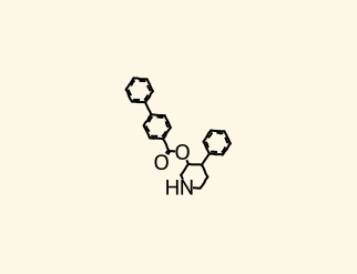 O=C(OC1CNCCC1c1ccccc1)c1ccc(-c2ccccc2)cc1